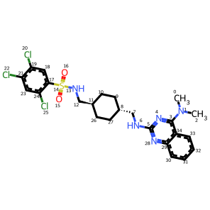 CN(C)c1nc(NC[C@H]2CC[C@H](CNS(=O)(=O)c3cc(Cl)c(Cl)cc3Cl)CC2)nc2ccccc12